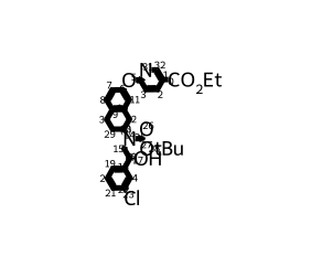 CCOC(=O)c1ccc(Oc2ccc3c(c2)C[C@@H](N(C[C@H](O)c2cccc(Cl)c2)C(=O)OC(C)(C)C)CC3)nc1